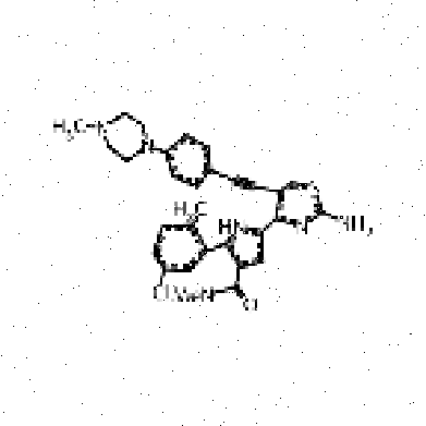 CNC(=O)c1cc(-c2nc(N)ncc2C#Cc2ccc(N3CCN(C)CC3)cc2)[nH]c1-c1cc(Cl)ccc1C